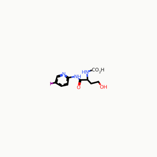 O=C(O)NC(CCO)C(=O)Nc1ccc(I)cn1